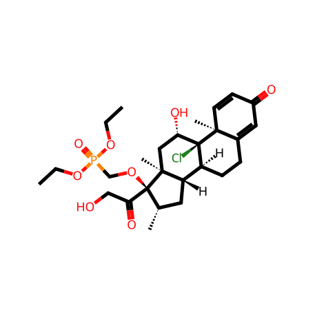 CCOP(=O)(CO[C@]1(C(=O)CO)[C@@H](C)C[C@H]2[C@@H]3CCC4=CC(=O)C=C[C@]4(C)[C@@]3(Cl)[C@@H](O)C[C@@]21C)OCC